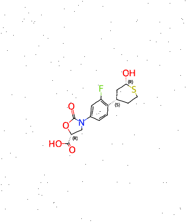 O=C(O)[C@H]1CN(c2ccc([C@H]3CCS[C@@H](O)C3)c(F)c2)C(=O)O1